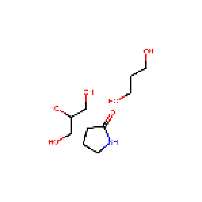 O=C1CCCN1.OCC(O)CO.OCCCO